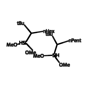 CCCCCC([SiH](OC)OC)C(C)(C)C.CCCCCCC([SiH](OC)OC)C(C)(C)C